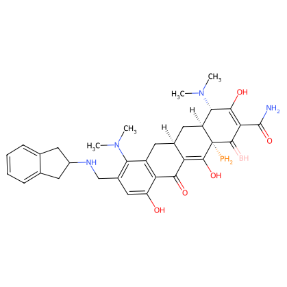 B=C1C(C(N)=O)=C(O)[C@@H](N(C)C)[C@@H]2C[C@@H]3Cc4c(c(O)cc(CNC5Cc6ccccc6C5)c4N(C)C)C(=O)C3=C(O)[C@]12P